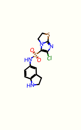 O=S(=O)(Nc1ccc2c(c1)CCN2)c1c(Cl)nc2n1CCS2